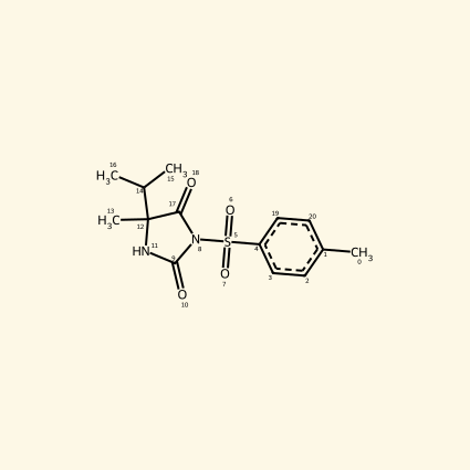 Cc1ccc(S(=O)(=O)N2C(=O)NC(C)(C(C)C)C2=O)cc1